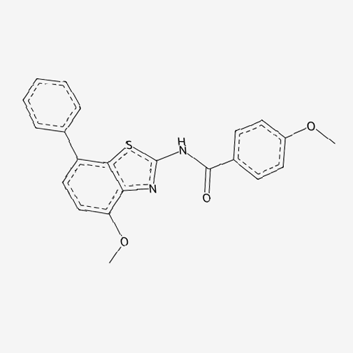 COc1ccc(C(=O)Nc2nc3c(OC)ccc(-c4ccccc4)c3s2)cc1